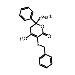 CCCCCC1(c2ccccc2)CC(O)=C(SCc2ccccc2)C(=O)O1